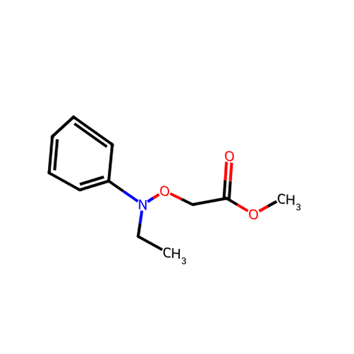 CCN(OCC(=O)OC)c1ccccc1